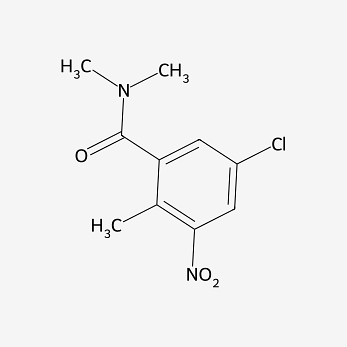 Cc1c(C(=O)N(C)C)cc(Cl)cc1[N+](=O)[O-]